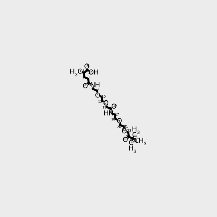 CC(CCC(=O)NCCOCCOCC(=O)NCCOCCOCC(=O)C(C)(C)C)C(=O)O